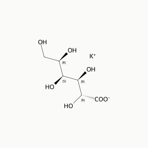 O=C([O-])[C@H](O)[C@H](O)[C@@H](O)[C@H](O)CO.[K+]